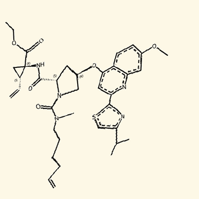 C=CCCCCN(C)C(=O)N1C[C@H](Oc2cc(-c3nc(C(C)C)cs3)nc3cc(OC)ccc23)C[C@H]1C(=O)N[C@]1(C(=O)OCC)C[C@H]1C=C